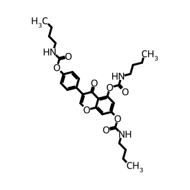 CCCCNC(=O)Oc1ccc(-c2coc3cc(OC(=O)NCCCC)cc(OC(=O)NCCCC)c3c2=O)cc1